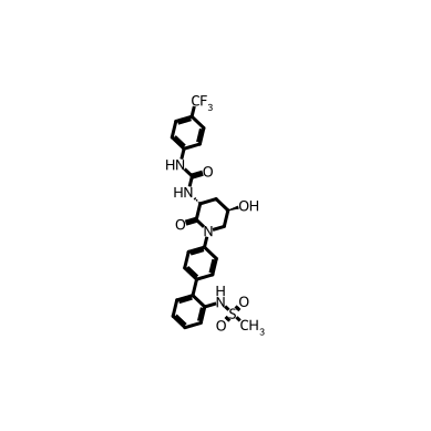 CS(=O)(=O)Nc1ccccc1-c1ccc(N2C[C@H](O)C[C@@H](NC(=O)Nc3ccc(C(F)(F)F)cc3)C2=O)cc1